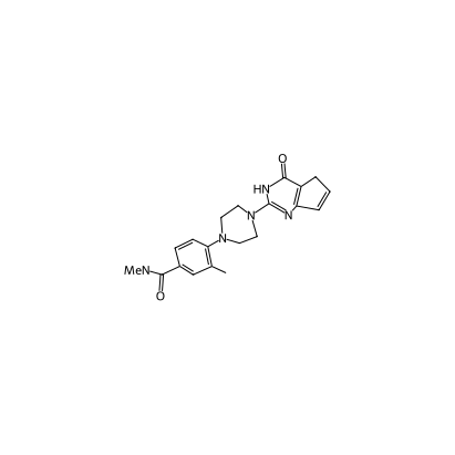 CNC(=O)c1ccc(N2CCN(c3nc4c(c(=O)[nH]3)CC=C4)CC2)c(C)c1